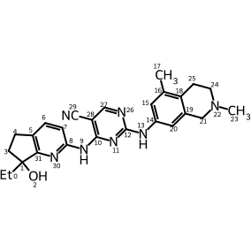 CCC1(O)CCc2ccc(Nc3nc(Nc4cc(C)c5c(c4)CN(C)CC5)ncc3C#N)nc21